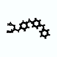 CNC(CO)Cc1ccc(Oc2ccc(Cc3ccccc3)cc2)cc1